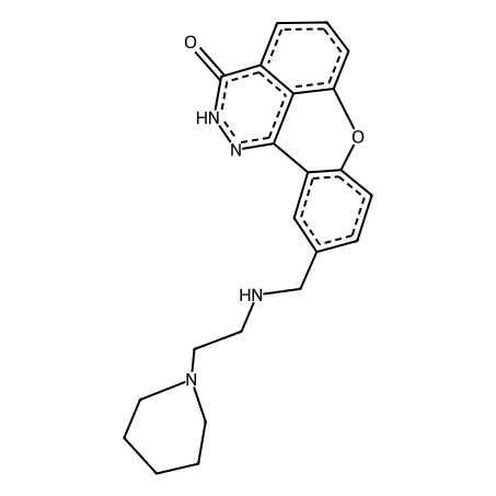 O=c1[nH]nc2c3c(cccc13)Oc1ccc(CNCCN3CCCCC3)cc1-2